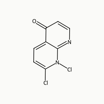 O=c1ccnc2n(Cl)c(Cl)ccc1-2